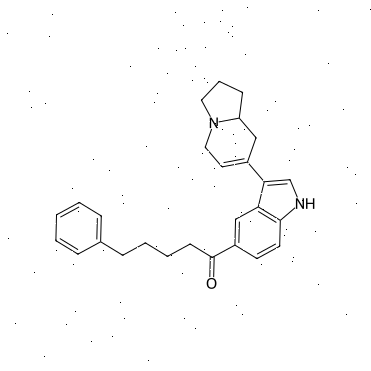 O=C(CCCCc1ccccc1)c1ccc2[nH]cc(C3=CCN4CCCC4C3)c2c1